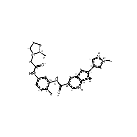 Cc1ncc(NC(=O)CN2CCC[C@H]2C)cc1NC(=O)c1cnc2[nH]c(-c3cnn(C)c3)cc2c1